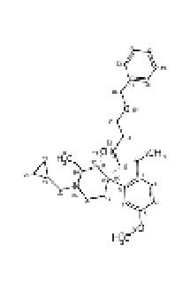 CCc1ccc(OC)cc1[C@@]1(CCCCOCc2ccccc2)CCN(CC2CC2)C(C)[C@@H]1C